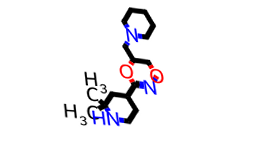 CC1(C)CC(C2=NOCC(CN3CCCCC3)O2)CCN1